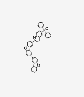 O=P(c1ccccc1)(c1ccccc1)c1ccc2nc(-c3ccc4oc5ccc(-c6ccc7oc8ccccc8c7c6)cc5c4c3)ccc2c1